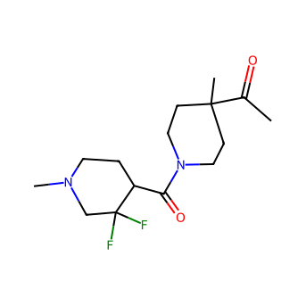 CC(=O)C1(C)CCN(C(=O)C2CCN(C)CC2(F)F)CC1